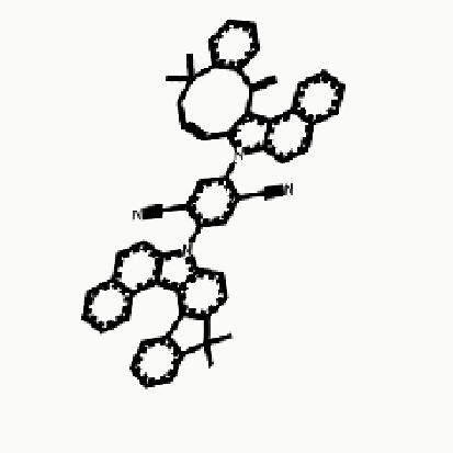 C=C1c2ccccc2C(C)(C)C/C=C\c2c1c1c3ccccc3ccc1n2-c1cc(C#N)c(-n2c3ccc4c(c3c3c5ccccc5ccc32)-c2ccccc2C4(C)C)cc1C#N